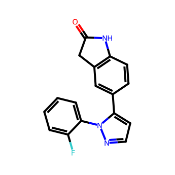 O=C1Cc2cc(-c3ccnn3-c3ccccc3F)ccc2N1